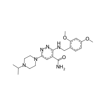 COc1ccc(CNc2nnc(N3CCN(C(C)C)CC3)cc2C(N)=O)c(OC)c1